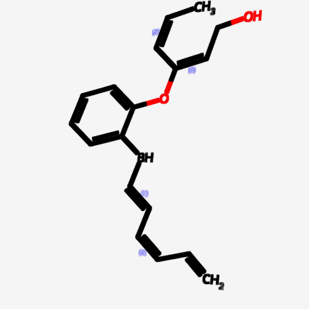 C=C/C=C\C=C\Bc1ccccc1OC(/C=C\C)=C/CO